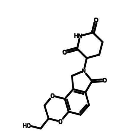 O=C1CCC(N2Cc3c(ccc4c3OCC(CO)O4)C2=O)C(=O)N1